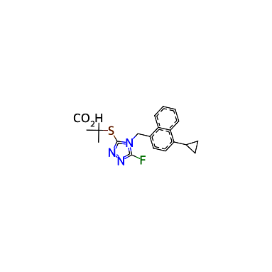 CC(C)(Sc1nnc(F)n1Cc1ccc(C2CC2)c2ccccc12)C(=O)O